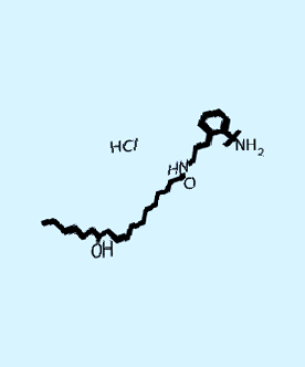 CCCCCCC(O)C/C=C\CCCCCCCC(=O)NCCCc1ccccc1C(C)(C)N.Cl